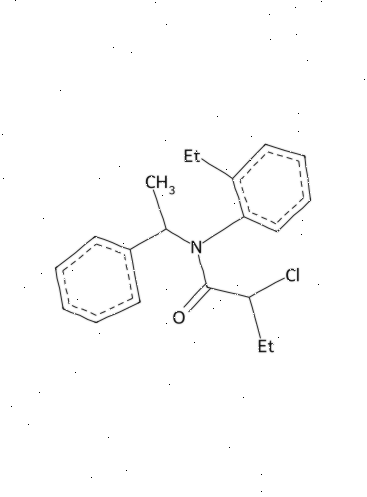 CCc1ccccc1N(C(=O)C(Cl)CC)C(C)c1ccccc1